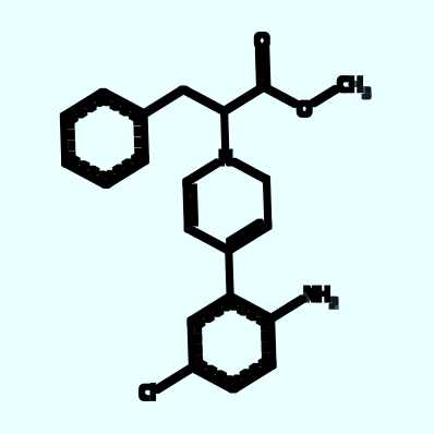 COC(=O)C(Cc1ccccc1)N1C=CC(c2cc(Cl)ccc2N)=CC1